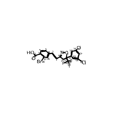 O=C(O)c1ccc(C=CC2=NOC(c3cc(Cl)cc(Cl)c3)(C(F)(F)F)C2)cc1Br